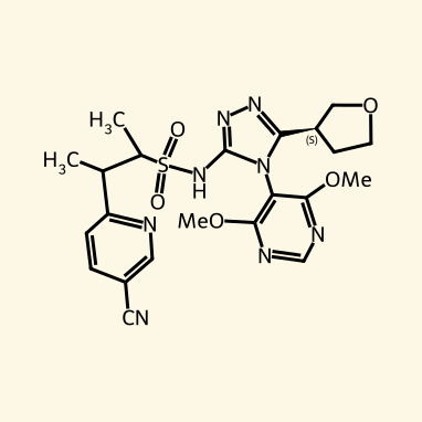 COc1ncnc(OC)c1-n1c(NS(=O)(=O)C(C)C(C)c2ccc(C#N)cn2)nnc1[C@@H]1CCOC1